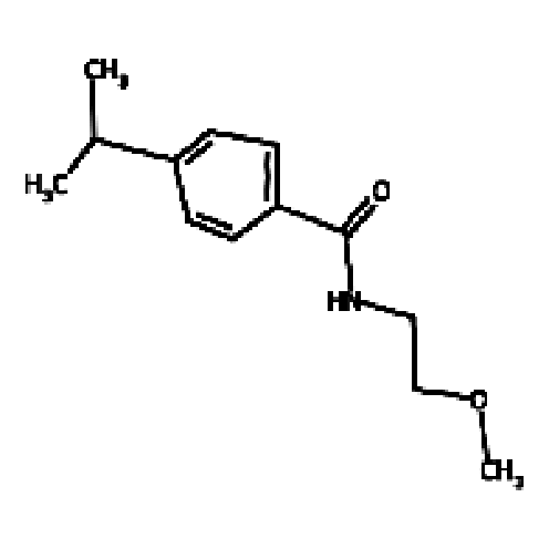 COCCNC(=O)c1ccc(C(C)C)cc1